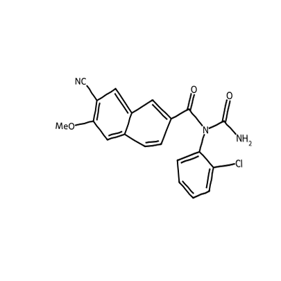 COc1cc2ccc(C(=O)N(C(N)=O)c3ccccc3Cl)cc2cc1C#N